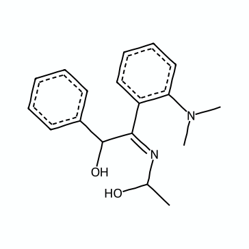 CC(O)N=C(c1ccccc1N(C)C)C(O)c1ccccc1